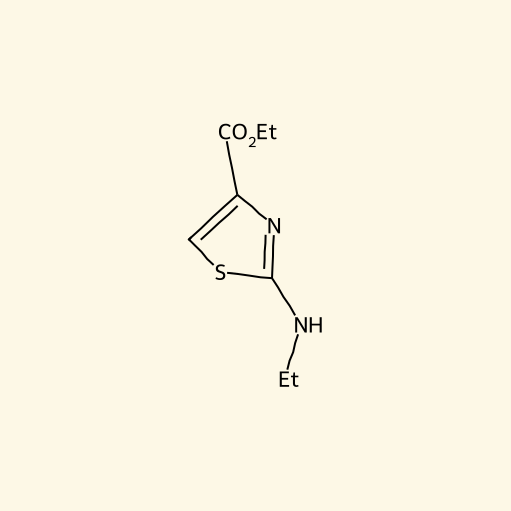 CCNc1nc(C(=O)OCC)cs1